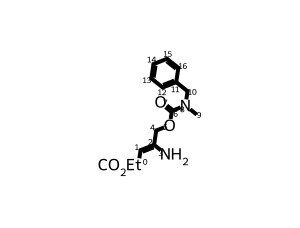 CCOC(=O)/C=C(\N)COC(=O)N(C)Cc1ccccc1